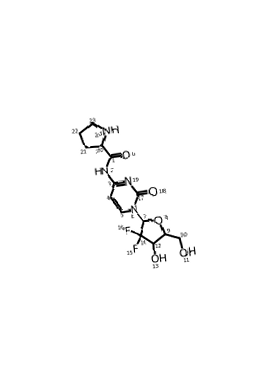 O=C(Nc1ccn(C2OC(CO)C(O)C2(F)F)c(=O)n1)C1CCCN1